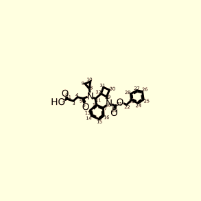 O=C(O)CCC(=O)N(C1CC1)C1c2ccccc2N(C(=O)OCc2ccccc2)C2CCC21